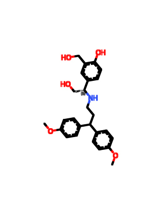 COc1ccc(C(CCN[C@H](CO)c2ccc(O)c(CO)c2)c2ccc(OC)cc2)cc1